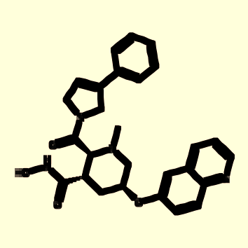 CN1C[C@@H](Oc2ccc3ncccc3c2)C[C@H](C(=O)NO)[C@H]1C(=O)N1CC=C(c2ccccc2)C1